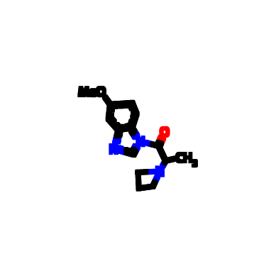 COc1ccc2c(c1)ncn2C(=O)C(C)N1CCC1